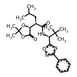 CC(C)C[C@@H](C(=O)N[C@H](c1nc(-c2ccccc2)no1)C(C)(C)C)[C@@H]1OC(C)(C)OC1=O